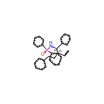 C=C[C@@H](CCc1ccccc1)[C@@H](NP(=O)(c1ccccc1)c1ccccc1)c1ccccc1